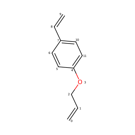 C=CCOc1ccc(C=C)cc1